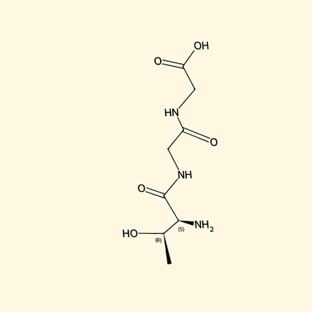 C[C@@H](O)[C@H](N)C(=O)NCC(=O)NCC(=O)O